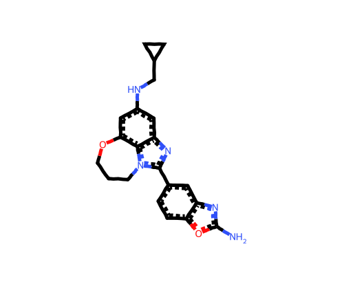 Nc1nc2cc(-c3nc4cc(NCC5CC5)cc5c4n3CCCO5)ccc2o1